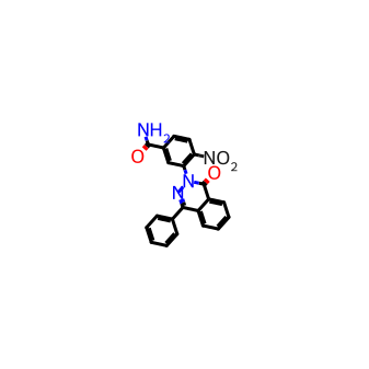 NC(=O)c1ccc([N+](=O)[O-])c(-n2nc(-c3ccccc3)c3ccccc3c2=O)c1